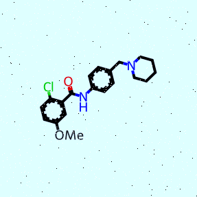 COc1ccc(Cl)c(C(=O)Nc2ccc(CN3CCCCC3)cc2)c1